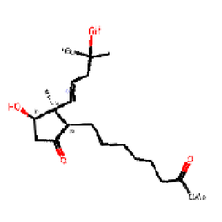 CCCCC(C)(O)C/C=C/[C@]1(C)[C@H](O)CC(=O)[C@@H]1CCCCCCC(=O)OC